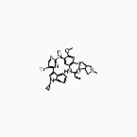 C=CC(=O)Nc1cc(Nc2ncc(Br)c(-c3cn(C4CC4)c4ccccc34)n2)c(OC)cc1N1CC2CN(C)CC2C1